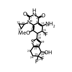 COC1=c2c(c(=O)[nH]c(=O)n2C2CC2)=C(N)C(F)C1c1cc2c(s1)CCC(F)(F)C2O